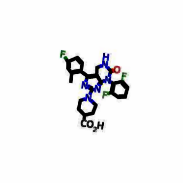 Cc1cc(F)ccc1-c1nc(N2CCC(C(=O)O)CC2)nc2c1CNC(=O)N2c1c(F)cccc1F